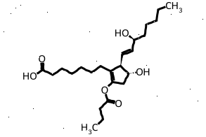 CCCCC[C@H](O)/C=C/[C@@H]1C(CCCCCCC(=O)O)=C(OC(=O)CCC)C[C@H]1O